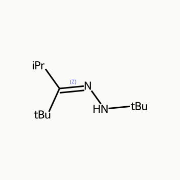 CC(C)/C(=N/NC(C)(C)C)C(C)(C)C